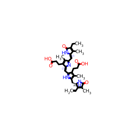 C=CC1=C(C)C(=O)N[C@@H]1Cc1[nH]c(/C=C2N=C(/C=C3\NC(=O)C(CC)=C3C)C(C)=C\2CCC(=O)O)c(CCC(=O)O)c1C